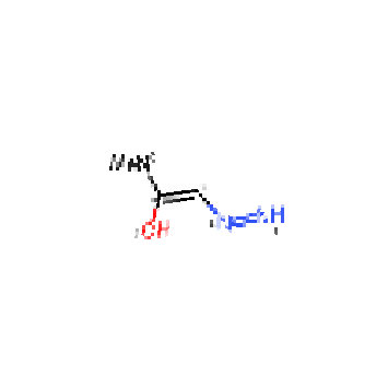 CN/C(O)=C/N=N